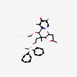 COCOC1c2c(OC)c(=O)c(Br)cn2C2CC(C)OC2C1(C)CCO[Si](c1ccccc1)(c1ccccc1)C(C)(C)C